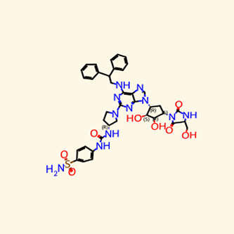 NS(=O)(=O)c1ccc(NC(=O)N[C@@H]2CCN(c3nc(NCC(c4ccccc4)c4ccccc4)c4ncn([C@@H]5C[C@H](N6C(=O)NC(CO)C6=O)[C@@H](O)[C@H]5O)c4n3)C2)cc1